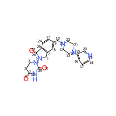 O=C1CCN(N2Cc3cc(CN4CCN(c5cccnc5)CC4)ccc3C2=O)C(=O)N1